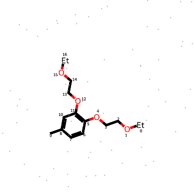 CCOCCOc1ccc(C)cc1OCCOCC